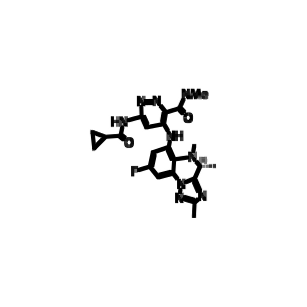 CNC(=O)c1nnc(NC(=O)C2CC2)cc1Nc1cc(F)cc2c1N(C)[C@H](C)c1nc(C)nn1-2